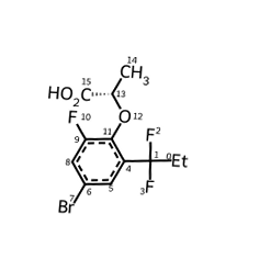 CCC(F)(F)c1cc(Br)cc(F)c1O[C@@H](C)C(=O)O